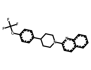 FC(F)(F)Oc1ccc(C2CCN(c3ccc4ccccc4n3)CC2)cc1